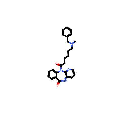 CN(CCCCCC(=O)N1c2ccccc2C(=O)Nc2cccnc21)Cc1ccccc1